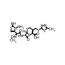 CON=C(C(=O)N[C@@H]1C(=O)N2C(C(=O)O)=C(CSc3nnc(C)s3)CS[C@@H]12)c1csc(=N)n1N